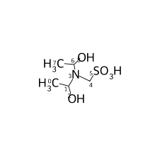 CC(O)N(CS(=O)(=O)O)C(C)O